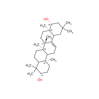 CC1(C)CC2C3=CCC4[C@@]5(C)CC[C@H](O)C(C)(C)C5CC[C@@]4(C)[C@]3(C)CC[C@@]2(C)[C@H](O)C1